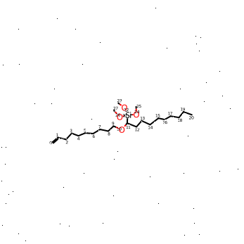 C=CCCCCCCCCOC(CCCCCCCCC)[Si](OC)(OC)OC